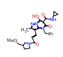 COCC1CCN(C(=O)C=Cc2c(C)nn3c(O)c(C(=O)NC4CC4)c(=O)n(CC(C)C)c23)C1